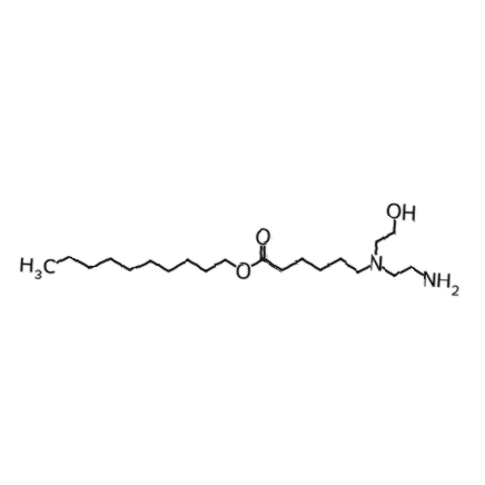 CCCCCCCCCCOC(=O)CCCCCN(CCN)CCO